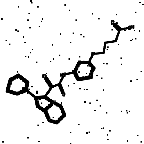 O=C(O)CCCOc1cccc(NC(=O)C(=O)c2c(-c3ccccc3)cc3ccccn23)c1